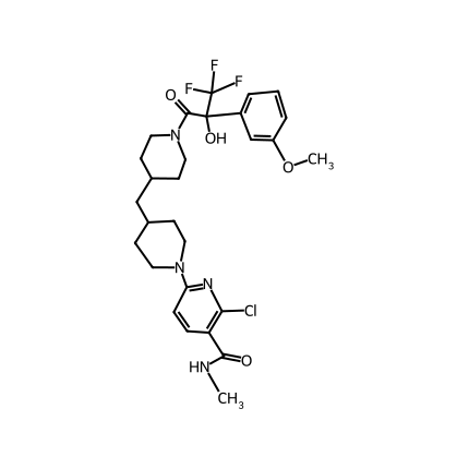 CNC(=O)c1ccc(N2CCC(CC3CCN(C(=O)C(O)(c4cccc(OC)c4)C(F)(F)F)CC3)CC2)nc1Cl